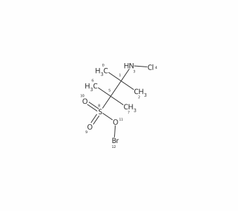 CC(C)(NCl)C(C)(C)S(=O)(=O)OBr